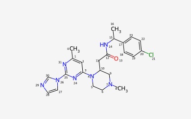 Cc1cc(N2CCN(C)CC2CC(=O)NC(C)c2ccc(Cl)cc2)nc(-n2ccnc2)n1